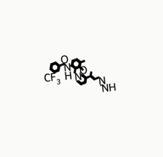 C/C(=C\C=N/C=N)c1cccnc1Oc1c(C)ccc(NC(=O)c2cccc(C(F)(F)F)c2)c1C